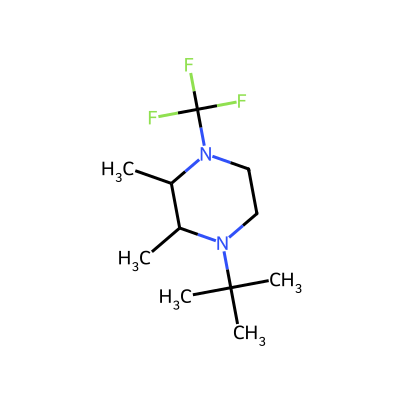 CC1C(C)N(C(F)(F)F)CCN1C(C)(C)C